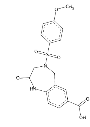 COc1ccc(S(=O)(=O)N2CC(=O)Nc3ccc(C(=O)O)cc3C2)cc1